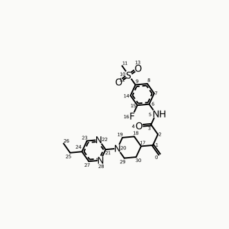 C=C(CC(=O)Nc1ccc(S(C)(=O)=O)cc1F)C1CCN(c2ncc(CC)cn2)CC1